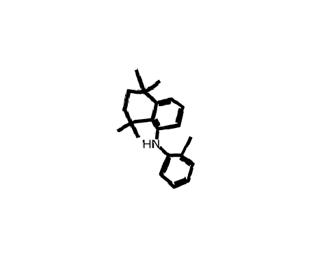 Cc1ccccc1Nc1cccc2c1C(C)(C)CCC2(C)C